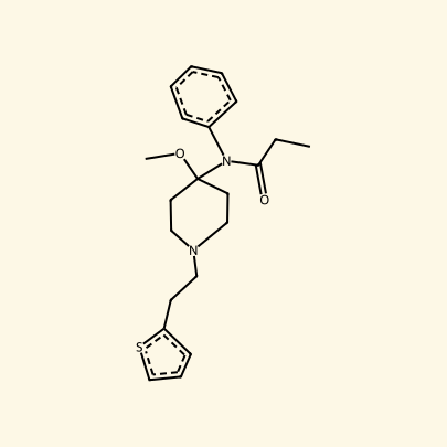 CCC(=O)N(c1ccccc1)C1(OC)CCN(CCc2cccs2)CC1